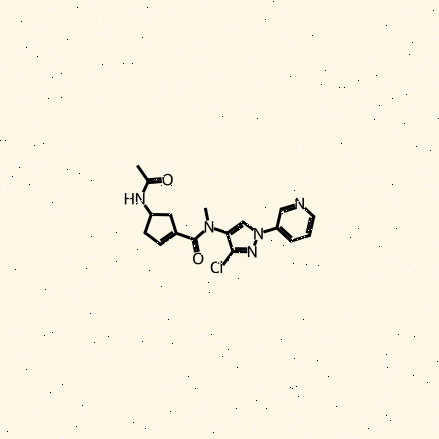 CC(=O)NC1CC=C(C(=O)N(C)c2cn(-c3cccnc3)nc2Cl)C1